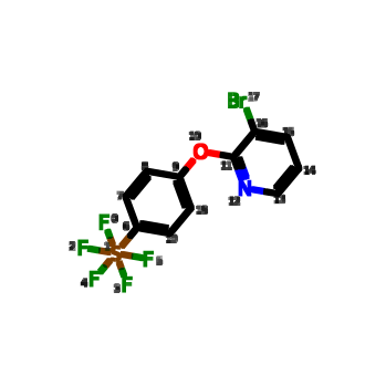 FS(F)(F)(F)(F)c1ccc(Oc2ncccc2Br)cc1